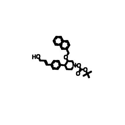 CC(C)(C)OC(=O)ON1CCC(c2ccc(C=CCO)cc2)C(OCc2ccc3ccccc3c2)C1